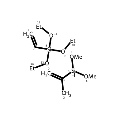 C=C(C)[SiH](OC)OC.C=C[Si](OCC)(OCC)OCC